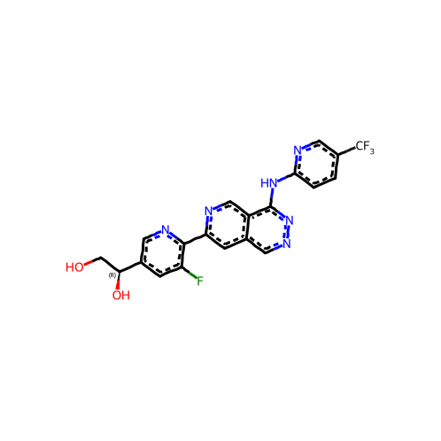 OC[C@H](O)c1cnc(-c2cc3cnnc(Nc4ccc(C(F)(F)F)cn4)c3cn2)c(F)c1